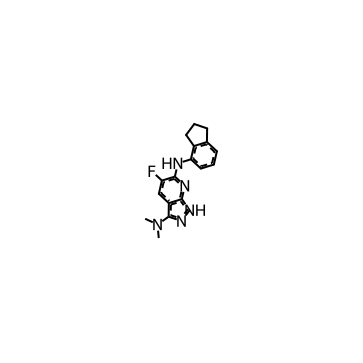 CN(C)c1n[nH]c2nc(Nc3cccc4c3CCC4)c(F)cc12